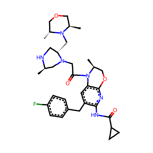 C[C@@H]1CN(CC(=O)N2c3cc(Cc4ccc(F)cc4)c(NC(=O)C4CC4)nc3OC[C@@H]2C)[C@@H](CN2[C@H](C)COC[C@H]2C)CN1